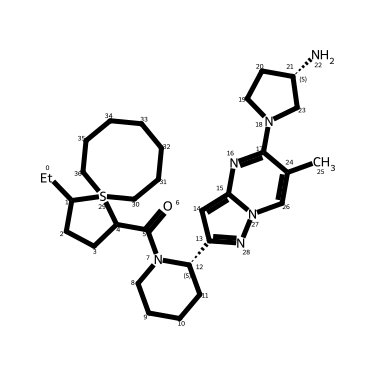 CCC1CCC(C(=O)N2CCCC[C@H]2c2cc3nc(N4CC[C@H](N)C4)c(C)cn3n2)S12CCCCCCC2